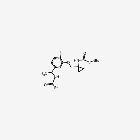 CCC(=O)NC(C)c1ccc(F)c(OCC2(NC(=O)OC(C)(C)C)CC2)c1